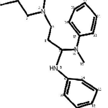 CCCN(C)CCC(Nc1ccccc1)N(C)c1ccccc1